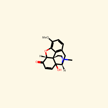 COc1ccc2c3c1O[C@H]1C(=O)C=CC4(O)[C@@H](C2)N(C)CC[C@]314